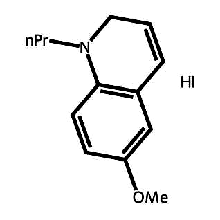 CCCN1CC=Cc2cc(OC)ccc21.I